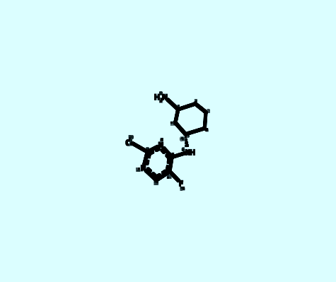 NC1CCC[C@H](Nc2nc(Cl)ncc2F)C1